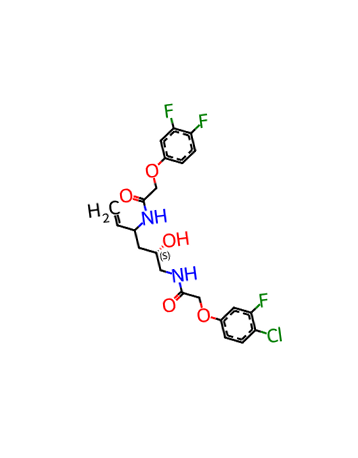 C=CC(C[C@H](O)CNC(=O)COc1ccc(Cl)c(F)c1)NC(=O)COc1ccc(F)c(F)c1